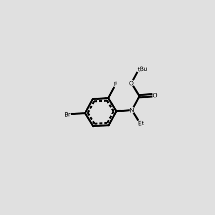 CCN(C(=O)OC(C)(C)C)c1ccc(Br)cc1F